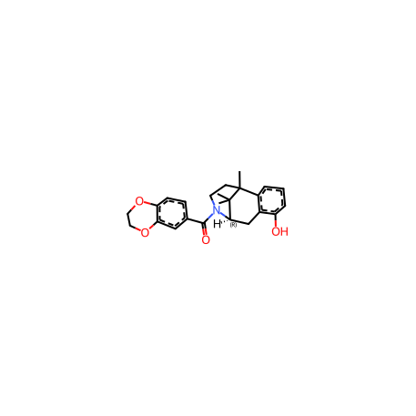 CC12CCN(C(=O)c3ccc4c(c3)OCCO4)[C@H](Cc3c(O)cccc31)C2(C)C